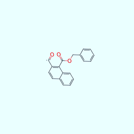 O=[C]c1ccc2ccccc2c1C(=O)OCc1ccccc1